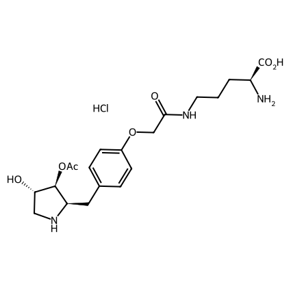 CC(=O)O[C@@H]1[C@@H](O)CN[C@@H]1Cc1ccc(OCC(=O)NCCC[C@H](N)C(=O)O)cc1.Cl